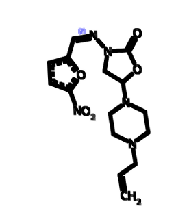 C=CCN1CCN(C2CN(/N=C\c3ccc([N+](=O)[O-])o3)C(=O)O2)CC1